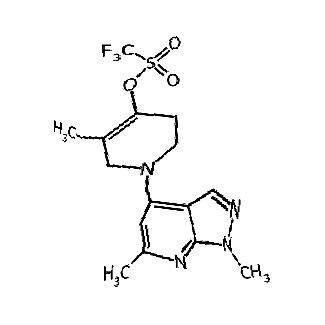 CC1=C(OS(=O)(=O)C(F)(F)F)CCN(c2cc(C)nc3c2cnn3C)C1